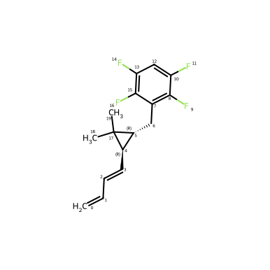 C=CC=C[C@@H]1[C@@H](Cc2c(F)c(F)cc(F)c2F)C1(C)C